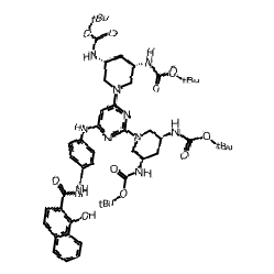 CC(C)(C)OC(=O)N[C@@H]1C[C@H](NC(=O)OC(C)(C)C)CN(c2cc(Nc3ccc(NC(=O)c4ccc5ccccc5c4O)cc3)nc(N3C[C@H](NC(=O)OC(C)(C)C)C[C@H](NC(=O)OC(C)(C)C)C3)n2)C1